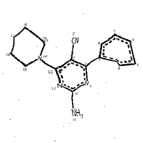 N#Cc1c(-c2ccccc2)nc(N)nc1N1CCCCC1